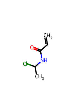 C=CC(=O)NC(C)Cl